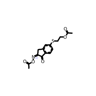 CC(=O)OCCSc1ccc2c(c1)C/C(=N/OC(C)=O)C2=O